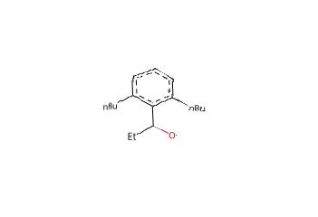 CCCCc1cccc(CCCC)c1C([O])CC